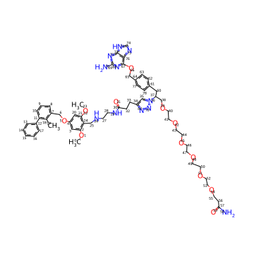 COc1cc(OCc2cccc(-c3ccccc3)c2C)cc(OC)c1CNCCNC(=O)CCc1cn(C(COCCOCCOCCOCCOCCOCCC(N)=O)Cc2ccc(COc3nc(N)nc4[nH]cnc34)cc2)nn1